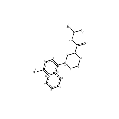 CCN(CC)OC(=O)C1CCCN(c2ccc(C#N)c3ccccc23)C1